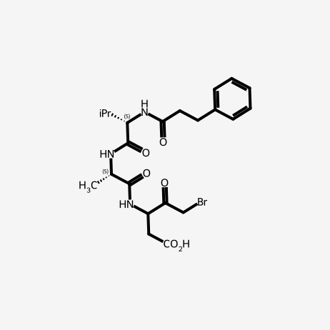 CC(C)[C@H](NC(=O)CCc1ccccc1)C(=O)N[C@@H](C)C(=O)NC(CC(=O)O)C(=O)CBr